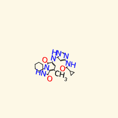 Cc1cc(Nc2cc(NC(=O)C3CC3)ncn2)c(=O)n2c1C(=O)NC21CCCCC1